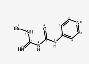 CC(C)(C)NC(=N)NC(=O)Nc1ccncc1